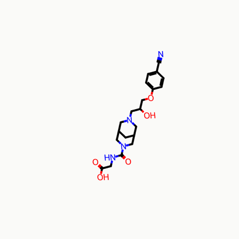 N#Cc1ccc(OCC(O)CN2CC3CC(C2)CN(C(=O)NCC(=O)O)C3)cc1